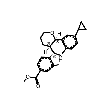 COC(=O)c1ccc([C@H]2Nc3ccc(C4CC4)cc3[C@@H]3OCCC[C@H]23)c(C)c1